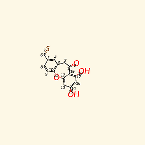 O=C1Cc2cc(C=S)ccc2Oc2cc(O)cc(O)c21